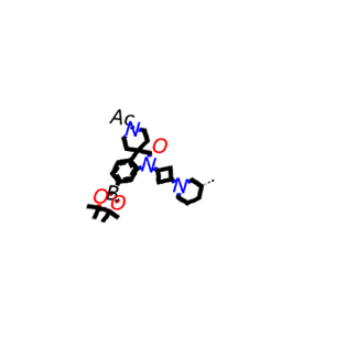 CC(=O)N1CCC2(CC1)C(=O)N(C1CC(N3CCC[C@@H](C)C3)C1)c1cc(B3OC(C)(C)C(C)(C)O3)ccc12